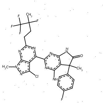 Cn1nc(Cl)c2c(-c3nc(N)c4c(n3)NC(=O)C4(C)c3ccc(F)cc3)nc(CCC(C)(F)C(F)(F)F)nc21